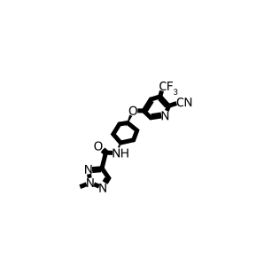 Cn1ncc(C(=O)N[C@H]2CC[C@H](Oc3cnc(C#N)c(C(F)(F)F)c3)CC2)n1